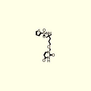 CC(C)(CCCOCn1ccc(=O)[nH]c1=O)NS(=O)(=O)c1cccs1